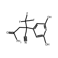 N#CC(CC(=O)P)(c1cc(O)bc(O)c1)C(F)(F)F